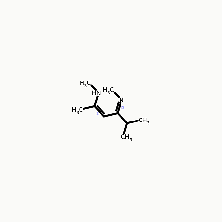 C/N=C(\C=C(\C)NC)C(C)C